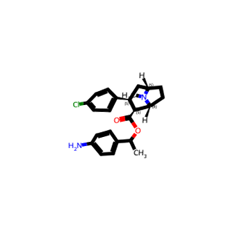 CC(OC(=O)[C@H]1[C@@H](c2ccc(Cl)cc2)C[C@@H]2CC[C@H]1N2C)c1ccc(N)cc1